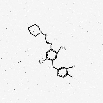 Cc1cc(Oc2ccc(F)c(Cl)c2)c(C)cc1/N=C/NN1CCCCC1